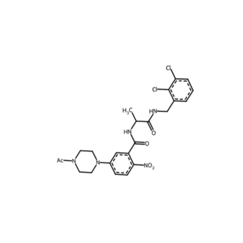 CC(=O)N1CCN(c2ccc([N+](=O)[O-])c(C(=O)NC(C)C(=O)NCc3cccc(Cl)c3Cl)c2)CC1